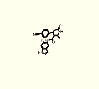 CC1=C(C(=O)Nc2cc3cn[nH]c3cc2F)C(c2ccc(C#N)cc2)CC(=O)N1